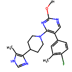 Cc1cc(-c2cnc(OC(C)C)nc2N2CCC(c3nc[nH]c3C)CC2)ccc1F